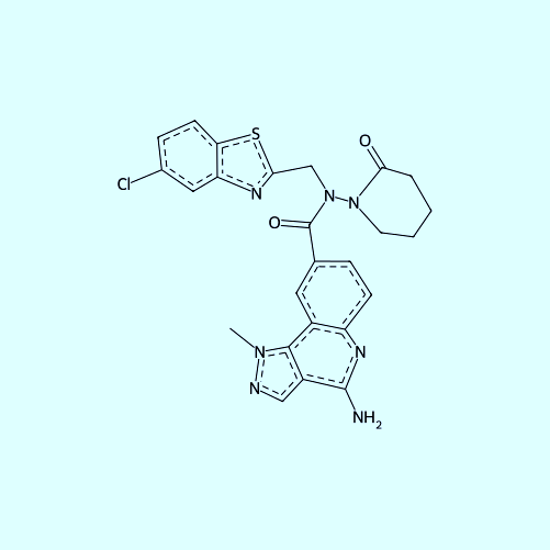 Cn1ncc2c(N)nc3ccc(C(=O)N(Cc4nc5cc(Cl)ccc5s4)N4CCCCC4=O)cc3c21